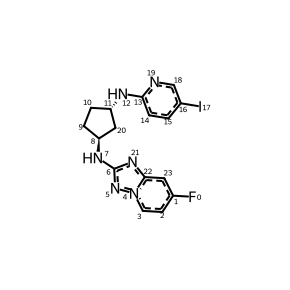 Fc1ccn2nc(N[C@H]3CC[C@H](Nc4ccc(I)cn4)C3)nc2c1